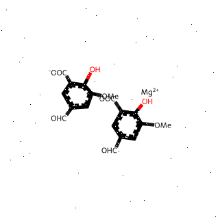 COc1cc(C=O)cc(C(=O)[O-])c1O.COc1cc(C=O)cc(C(=O)[O-])c1O.[Mg+2]